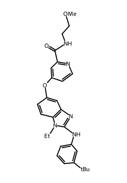 CCn1c(Nc2cccc(C(C)(C)C)c2)nc2cc(Oc3ccnc(C(=O)NCCOC)c3)ccc21